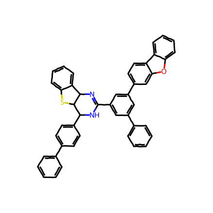 c1ccc(-c2ccc(C3NC(c4cc(-c5ccccc5)cc(-c5ccc6c(c5)oc5ccccc56)c4)=NC4c5ccccc5SC43)cc2)cc1